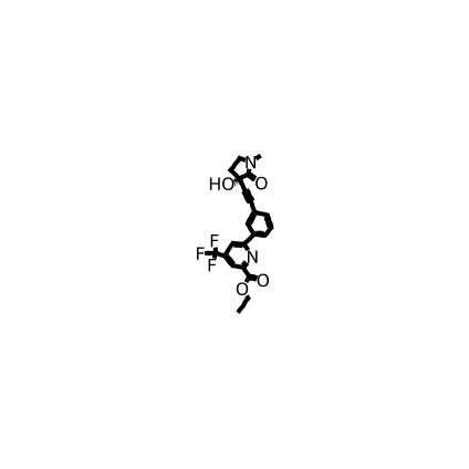 CCOC(=O)c1cc(C(F)(F)F)cc(-c2cccc(C#C[C@]3(O)CCN(C)C3=O)c2)n1